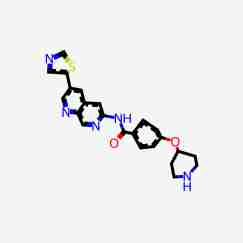 O=C(Nc1cc2cc(-c3cncs3)cnc2cn1)c1ccc(OC2CCNCC2)cc1